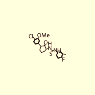 COc1cc(C2CCCC(NC(=S)Nc3ccc(F)c(C)c3)C2=O)ccc1Cl